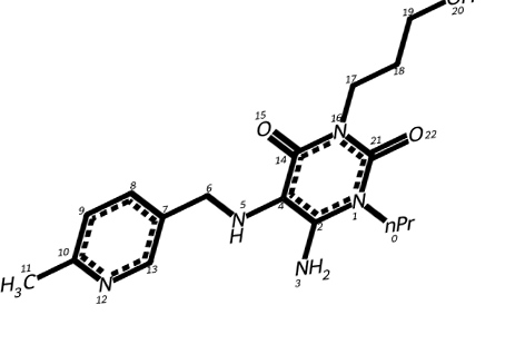 CCCn1c(N)c(NCc2ccc(C)nc2)c(=O)n(CCCO)c1=O